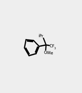 COC(c1ccccc1)(C(C)C)C(F)(F)F